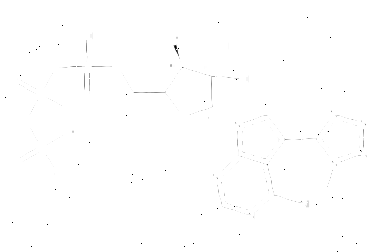 Cn1nnnc1-c1cn([C@@H]2OC(COP(=O)(O)OP(=O)(O)OP(=O)(O)O)[C@@H](O)[C@@]2(C)O)c2ncnc(N)c12